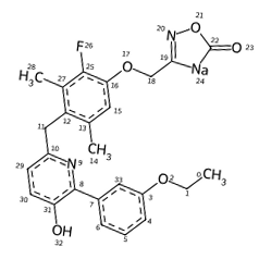 CCOc1cccc(-c2nc(Cc3c(C)cc(OC[C]4=NO[C](=O)[Na]4)c(F)c3C)ccc2O)c1